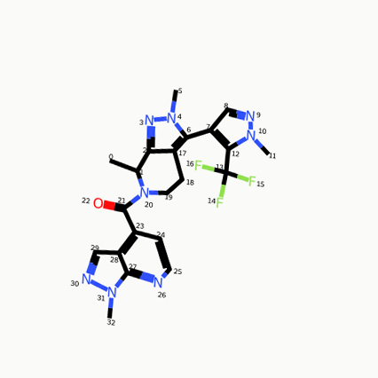 CC1c2nn(C)c(-c3cnn(C)c3C(F)(F)F)c2CCN1C(=O)c1ccnc2c1cnn2C